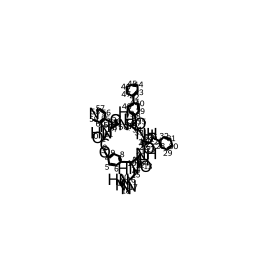 O=C1COc2ccc(cc2)C[C@@H](C(=O)NCc2nnn[nH]2)NC(=O)[C@H](CCc2ccccc2)NC(=O)[C@@H](Cc2ccc(-c3ccccc3)cc2)NC(=O)[C@H](Cc2ccncc2)N1